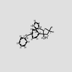 CC(C)(C)CC(O)(Cn1ccnc1)c1ccc(Sc2ccccc2)cc1